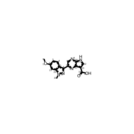 COc1ccc2c(-c3cnc4[nH]cc(C(=O)O)c4n3)nn(C)c2c1